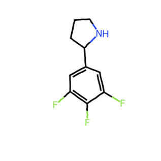 Fc1cc(C2CCCN2)cc(F)c1F